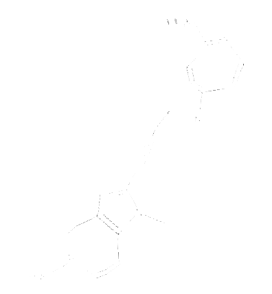 CCn1c(C#CCNc2ccnc(C)c2)cc2cc(C=O)ccc21